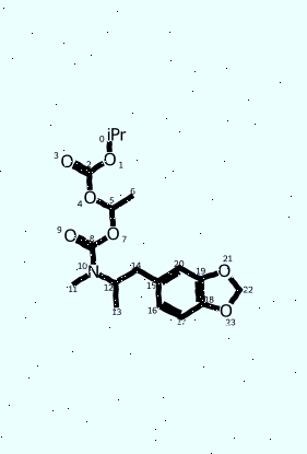 CC(C)OC(=O)OC(C)OC(=O)N(C)C(C)Cc1ccc2c(c1)OCO2